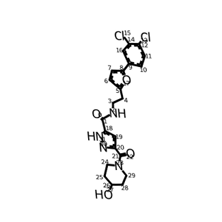 O=C(NCCc1ccc(-c2ccc(Cl)c(Cl)c2)o1)c1cc(C(=O)N2CCC(O)CC2)n[nH]1